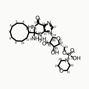 NC1(C2CCCCCCCCC2)NC(=O)c2ncn([C@@H]3O[C@H](COP(=O)(O)N4CCOCC4)[C@@H](O)[C@H]3O)c2N1